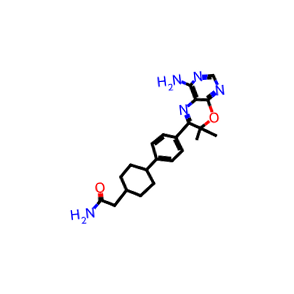 CC1(C)Oc2ncnc(N)c2N=C1c1ccc(C2CCC(CC(N)=O)CC2)cc1